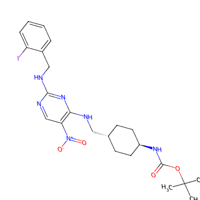 CC(C)(C)OC(=O)N[C@H]1CC[C@H](CNc2nc(NCc3ccccc3I)ncc2[N+](=O)[O-])CC1